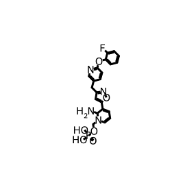 NC1C(c2cc(Cc3ccc(Oc4ccccc4F)nc3)no2)=CC=CN1COP(=O)(O)O